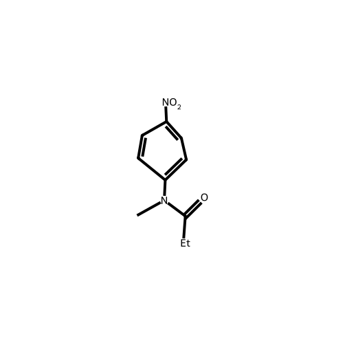 CCC(=O)N(C)c1ccc([N+](=O)[O-])cc1